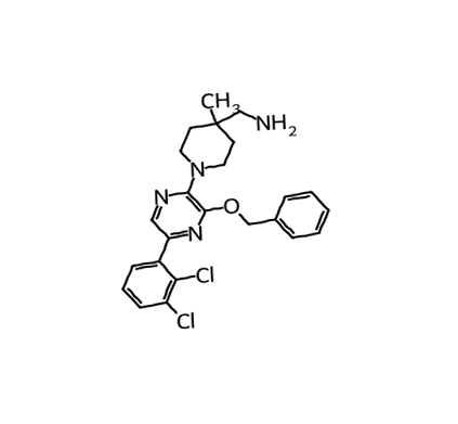 CC1(CN)CCN(c2ncc(-c3cccc(Cl)c3Cl)nc2OCc2ccccc2)CC1